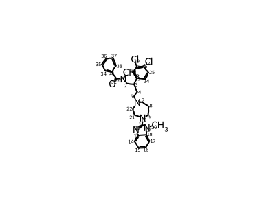 CN(CC(CCN1CCCN(c2nc3ccccc3n2C)CC1)c1ccc(Cl)c(Cl)c1)C(=O)c1ccccc1